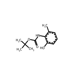 Cc1cccc(O)c1NC(=O)OC(C)(C)C